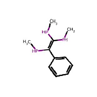 CPC(PC)=C(PC)c1ccccc1